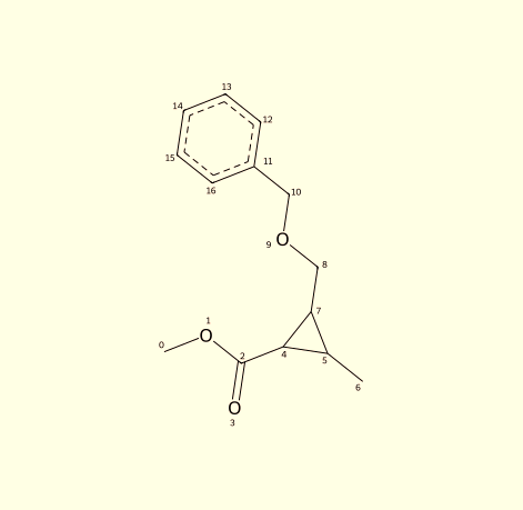 COC(=O)C1C(C)C1COCc1ccccc1